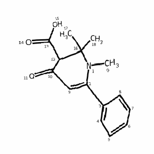 CN1C(c2ccccc2)=CC(=O)C(C(=O)O)C1(C)C